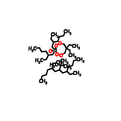 CCCCC(CC)CC(CC(CC)CCCC)C(C)(C)C.CCCCC(CC)[CH2][Ti]1(=[O])([CH2]C(CC)CCCC)[O]OCC(CC)(CC)CO[O]1